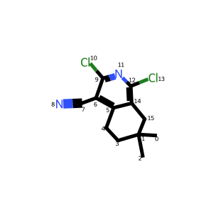 CC1(C)CCc2c(C#N)c(Cl)nc(Cl)c2C1